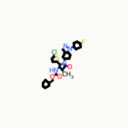 CC1C(=O)N(c2ccc3c(cnn3-c3ccc(F)cc3)c2)C(c2ccc(Cl)s2)C1NC(=O)OCc1ccccc1